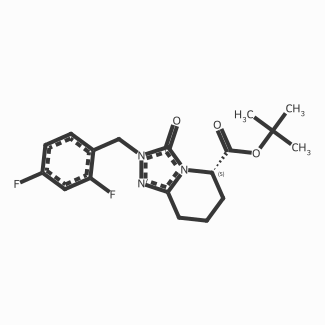 CC(C)(C)OC(=O)[C@@H]1CCCc2nn(Cc3ccc(F)cc3F)c(=O)n21